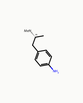 CN[C@H](C)Cc1ccc(N)cc1